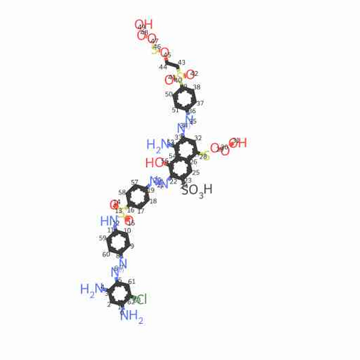 Nc1cc(N)c(/N=N/c2ccc(NS(=O)(=O)c3ccc(/N=N/c4c(S(=O)(=O)O)cc5c(SOOO)cc(/N=N/c6ccc(S(=O)(=O)CCOSOOO)cc6)c(N)c5c4O)cc3)cc2)cc1Cl